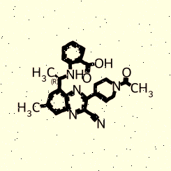 CC(=O)N1CC=C(c2nc3c([C@@H](C)Nc4ccccc4C(=O)O)cc(C)cc3nc2C#N)CC1